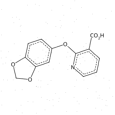 O=C(O)c1cccnc1Oc1ccc2c(c1)OCO2